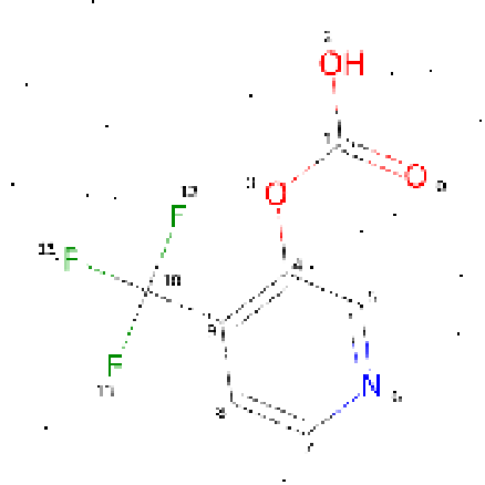 O=C(O)Oc1cnccc1C(F)(F)F